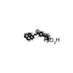 O=C(/C=C/c1ccc2c3c4c(ccc13)CC=CC4C=C2)c1ccc(OCC(F)C(F)(F)S(=O)(=O)O)cc1